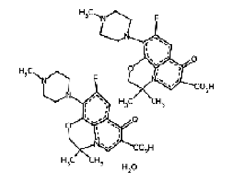 CN1CCN(c2c(F)cc3c(=O)c(C(=O)O)cn4c3c2OCC4(C)C)CC1.CN1CCN(c2c(F)cc3c(=O)c(C(=O)O)cn4c3c2OCC4(C)C)CC1.O